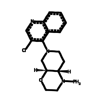 PN1CCO[C@H]2CN(c3c(Cl)cnc4ccccc34)CC[C@@H]21